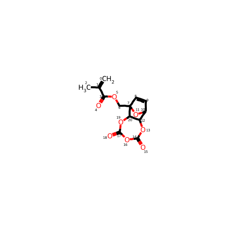 C=C(C)C(=O)OCC12C=CC(O1)C1OC(=O)OC(=O)OC12